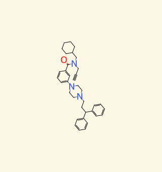 C#CCN(CC1CCCCC1)C(=O)c1cccc(N2CCN(CCC(c3ccccc3)c3ccccc3)CC2)c1